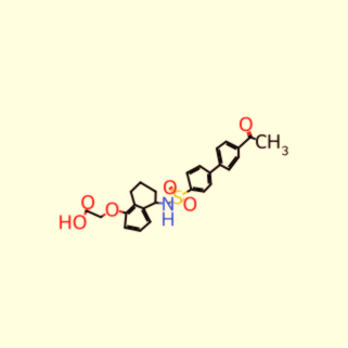 CC(=O)c1ccc(-c2ccc(S(=O)(=O)NC3CCCc4c(OCC(=O)O)cccc43)cc2)cc1